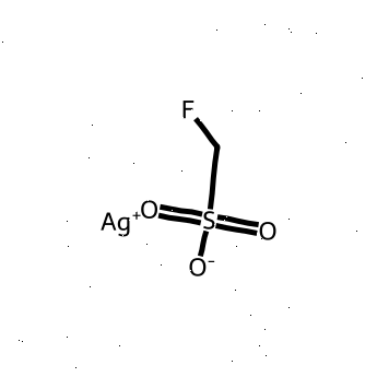 O=S(=O)([O-])CF.[Ag+]